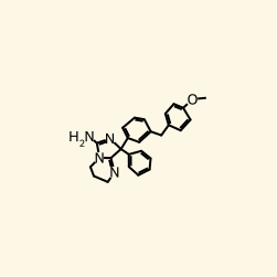 COc1ccc(Cc2cccc(C3(c4ccccc4)N=C(N)N4CCCN=C43)c2)cc1